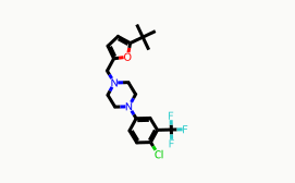 CC(C)(C)c1ccc(CN2CCN(c3ccc(Cl)c(C(F)(F)F)c3)CC2)o1